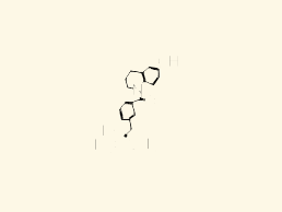 Cc1ccc2c(c1)CCCN2C(=O)c1cccc(CC(C)(C)C)c1